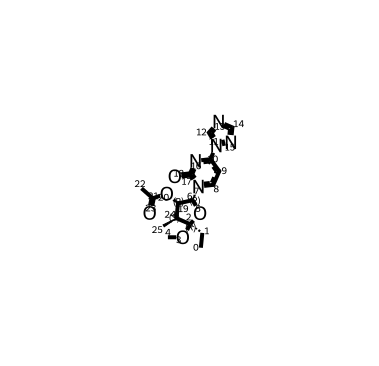 CC[C@@]1(OC)O[C@@H](n2ccc(-n3cncn3)nc2=O)[C@H](OC(C)=O)[C@@H]1C